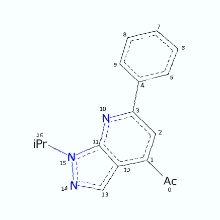 CC(=O)c1cc(-c2ccccc2)nc2c1cnn2C(C)C